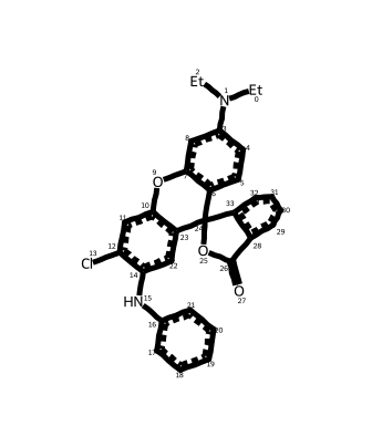 CCN(CC)c1ccc2c(c1)Oc1cc(Cl)c(Nc3ccccc3)cc1C21OC(=O)c2ccccc21